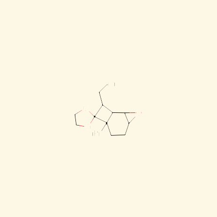 CC(C)CC1C2C3OC3CCC2(C(C)C)C12OCCO2